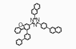 c1ccc(-c2cccc(-c3cc(-c4nc(-c5ccc(-c6ccc7ccccc7c6)cc5)nc(-c5ccc6ccccc6c5)n4)cc4oc5ccccc5c34)c2)cc1